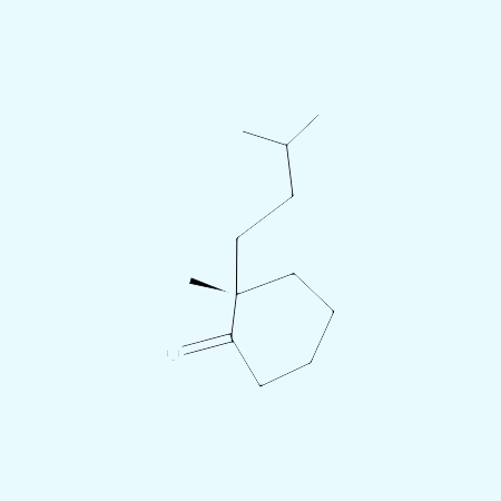 CC(C)CC[C@]1(C)CCCCC1=O